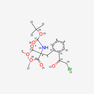 COC(=O)C(Cc1ccccc1C(=O)CBr)(NC(=O)OC(C)(C)C)C(=O)OC